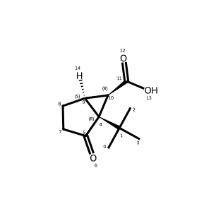 CC(C)(C)[C@@]12C(=O)CC[C@H]1[C@H]2C(=O)O